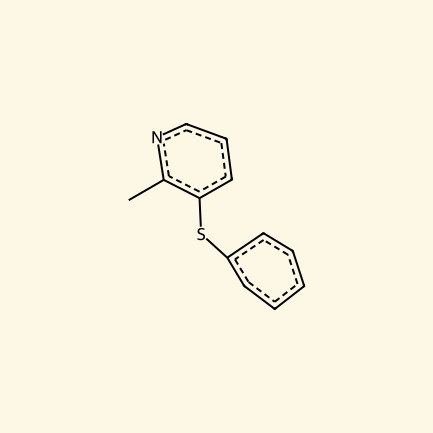 Cc1ncccc1Sc1ccccc1